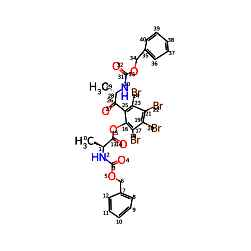 C[C@H](NC(=O)OCc1ccccc1)C(=O)Oc1c(Br)c(Br)c(Br)c(Br)c1C(=O)[C@H](C)NC(=O)OCc1ccccc1